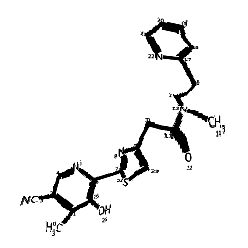 Cc1c(C#N)cnc(-c2nc(CC(=O)N(C)CCc3ccccn3)cs2)c1O